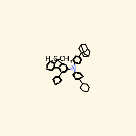 CC1(C)c2ccccc2-c2c(-c3ccccc3)cc(N(c3ccc(C4CCCCC4)cc3)c3ccc(C45CC6CC(CC(C6)C4)C5)cc3)cc21